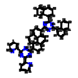 c1ccc(-c2nc(-c3ccccn3)nc(-c3ccc4ccc5c(-c6nc(-c7cccc8ccccc78)nc(-c7cccc8ccccc78)n6)ccc6ccc3c4c65)n2)nc1